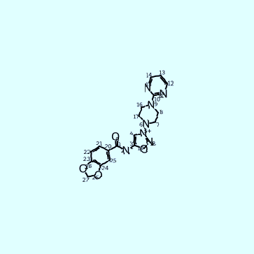 O=C([N-]c1c[n+](N2CCN(c3ncccn3)CC2)no1)c1ccc2c(c1)OCO2